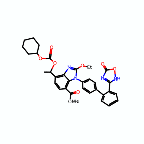 CCOc1nc2c(C(C)OC(=O)OC3CCCCC3)ccc(C(=O)OC)c2n1-c1ccc(-c2ccccc2-c2nc(=O)o[nH]2)cc1